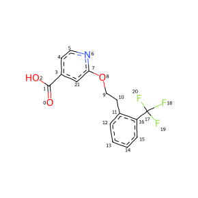 O=C(O)c1ccnc(OCCc2ccccc2C(F)(F)F)c1